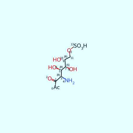 CC(=O)C(=O)[C@H](N)[C@@H](O)[C@H](O)[C@H](O)COS(=O)(=O)O